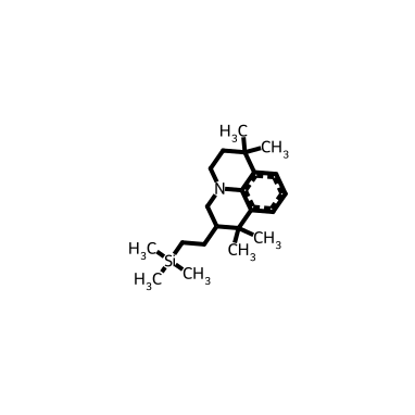 CC1(C)CCN2CC(CC[Si](C)(C)C)C(C)(C)c3cccc1c32